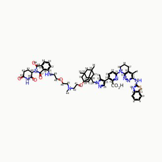 Cc1c(Nc2nc3ccccc3s2)nnc2c1CCCN2c1ccc(-c2cnn(CC34CC5(C)CC(C)(C3)CC(OCCN(C)CCOCCNc3cccc6c3C(=O)N(C3CCC(=O)NC3=O)C6=O)(C5)C4)c2C)c(C(=O)O)n1